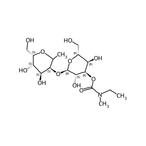 CCN(C)C(=O)O[C@H]1[C@H](O)[C@@H](O[C@@H]2C(C)O[C@@H](CO)[C@@H](O)[C@@H]2O)O[C@H](CO)[C@H]1O